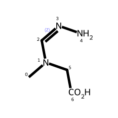 CN(/C=N\N)CC(=O)O